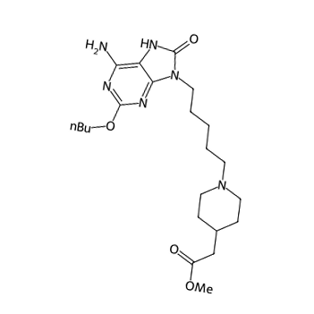 CCCCOc1nc(N)c2[nH]c(=O)n(CCCCCN3CCC(CC(=O)OC)CC3)c2n1